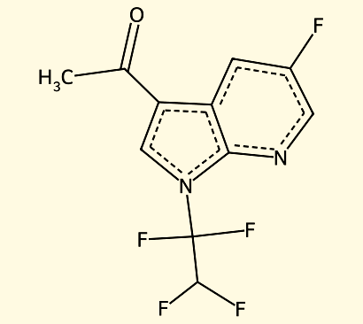 CC(=O)c1cn(C(F)(F)C(F)F)c2ncc(F)cc12